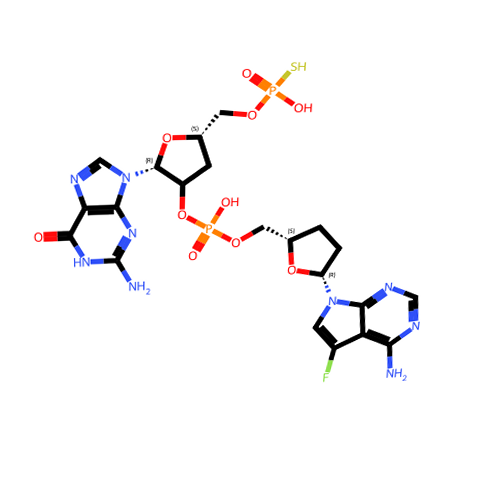 Nc1nc2c(ncn2[C@@H]2O[C@H](COP(=O)(O)S)CC2OP(=O)(O)OC[C@@H]2CC[C@H](n3cc(F)c4c(N)ncnc43)O2)c(=O)[nH]1